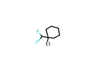 CCC1(C(F)F)CCCCC1